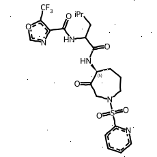 CC(C)CC(NC(=O)c1ncoc1C(F)(F)F)C(=O)N[C@H]1CCCN(S(=O)(=O)c2ccccn2)CC1=O